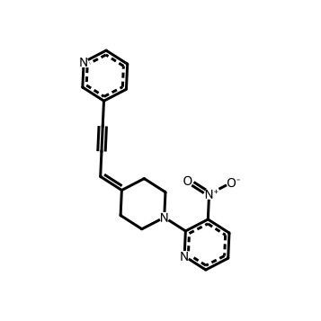 O=[N+]([O-])c1cccnc1N1CCC(=CC#Cc2cccnc2)CC1